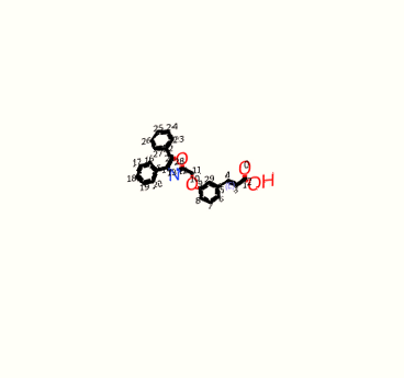 O=C(O)/C=C/c1cccc(OCc2nc(-c3ccccc3)c(-c3ccccc3)o2)c1